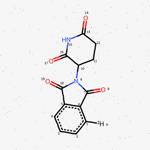 [2H]c1cccc2c1C(=O)N(C1CCC(=O)NC1=O)C2=O